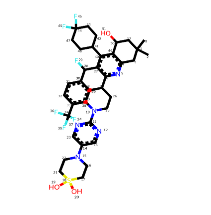 CC1(C)Cc2nc(C3CCN(c4ncc(N5CCS(O)(O)CC5)cn4)CC3)c(C(F)c3ccc(C(F)(F)F)cc3)c(C3CCC(F)(F)CC3)c2C(O)C1